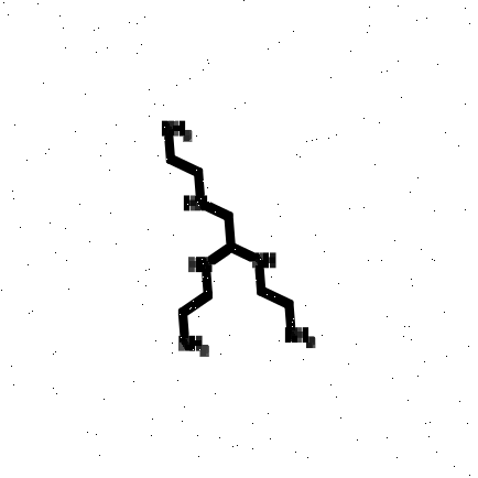 NCCNCC(NCCN)NCCN